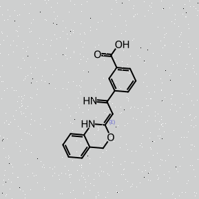 N=C(/C=C1\Nc2ccccc2CO1)c1cccc(C(=O)O)c1